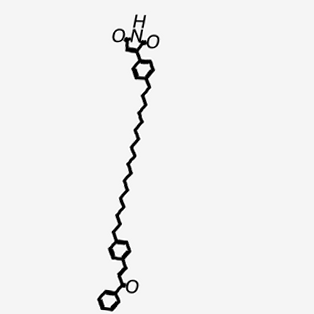 O=C1C=C(c2ccc(CCCCCCCCCCCCCCCCCCc3ccc(C=CC(=O)c4ccccc4)cc3)cc2)C(=O)N1